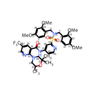 COc1ccc(CN(Cc2ccc(OC)cc2OC)S(=O)(=O)c2cc(NC(=O)c3cc(C(F)(F)F)cnc3N3CC(C(F)(F)F)OC(C)(C)C3)ccn2)c(OC)c1